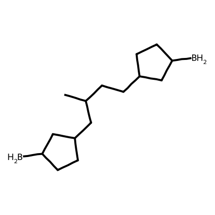 BC1CCC(CCC(C)CC2CCC(B)C2)C1